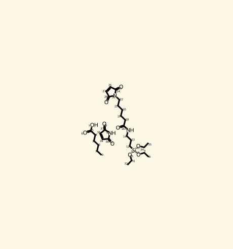 CCCCCC(=O)O.CCO[Si](CCCNC(=O)CCCCCN1C(=O)C=CC1=O)(OCC)OCC.O=C1C=CC(=O)N1